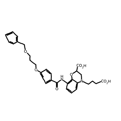 O=C(O)CCCN1CC(C(=O)O)Oc2c(NC(=O)c3ccc(OCCCOCc4ccccc4)cc3)cccc21